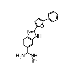 CC(C)NC(N)c1ccc2nc(-c3ccc(-c4ccccc4)o3)[nH]c2c1